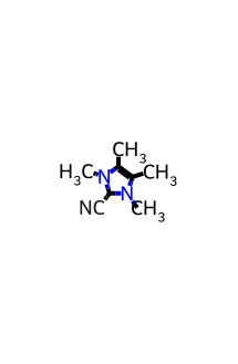 CC1=C(C)N(C)C(C#N)N1C